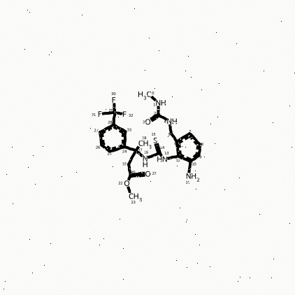 CNC(=O)NCc1cccc(N)c1NC(=S)NC(C)(CC(=O)OC)c1cccc(C(F)(F)F)c1